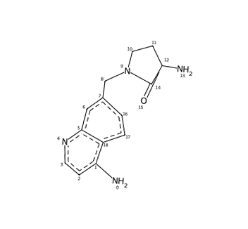 Nc1ccnc2cc(CN3CCC(N)C3=O)ccc12